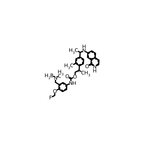 BN(C)Cc1cc(NC(=O)OC[C@H](C)c2ccc(C(C)Nc3ccc4cc[nH]c(=O)c4c3)cc2C)ccc1OCF